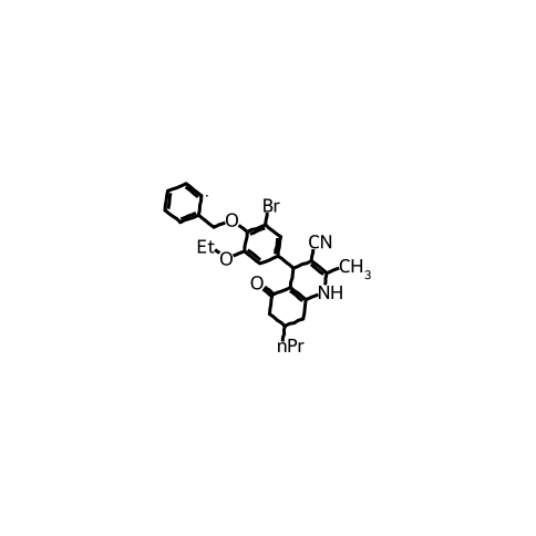 CCCC1CC(=O)C2=C(C1)NC(C)=C(C#N)C2c1cc(Br)c(OCc2[c]cccc2)c(OCC)c1